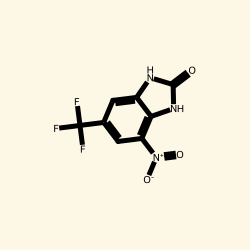 O=c1[nH]c2cc(C(F)(F)F)cc([N+](=O)[O-])c2[nH]1